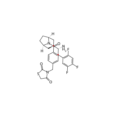 N[C@H](Cc1cc(F)c(F)cc1F)[C@H]1C[C@H]2CC[C@@H](C1)N2C(=O)c1ccc(CN2C(=O)CSC2=O)cc1